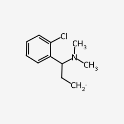 [CH2]CC(c1ccccc1Cl)N(C)C